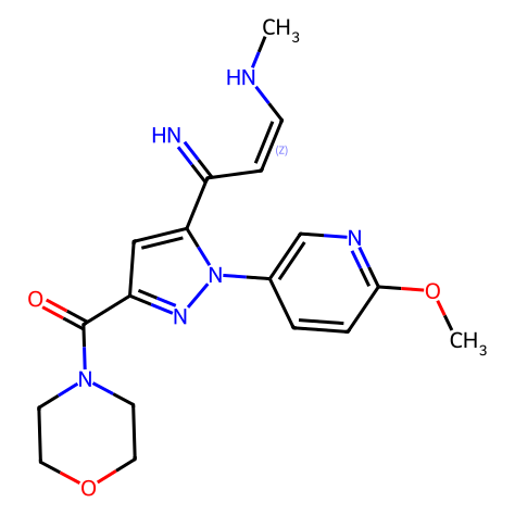 CN/C=C\C(=N)c1cc(C(=O)N2CCOCC2)nn1-c1ccc(OC)nc1